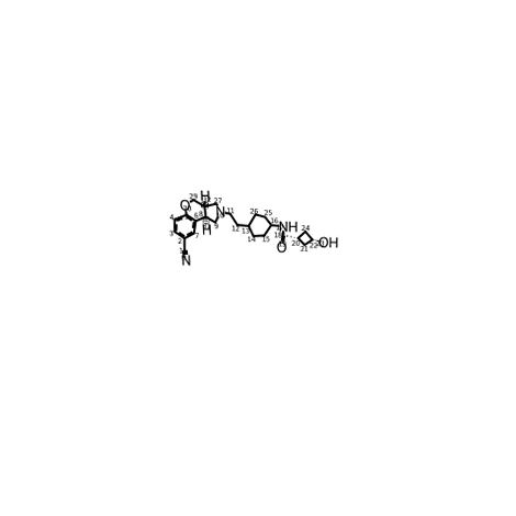 N#Cc1ccc2c(c1)[C@@H]1CN(CCC3CCC(NC(=O)[C@H]4C[C@@H](O)C4)CC3)C[C@H]1CO2